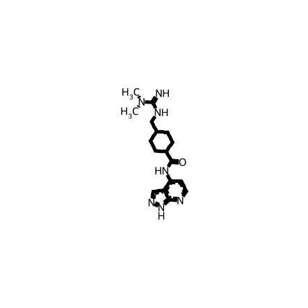 CN(C)C(=N)NCC1CCC(C(=O)Nc2ccnc3[nH]ncc23)CC1